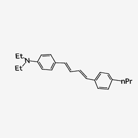 CCCc1ccc(/C=C/C=C/c2ccc(N(CC)CC)cc2)cc1